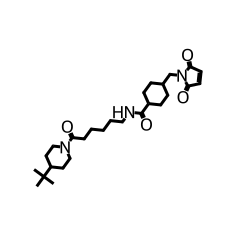 CC(C)(C)C1CCN(C(=O)CCCCCNC(=O)C2CCC(CN3C(=O)C=CC3=O)CC2)CC1